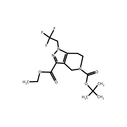 CCOC(=O)c1nn(CC(F)(F)F)c2c1CN(C(=O)OC(C)(C)C)CC2